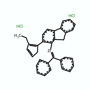 CCC1=C(c2ccc3c([c]2[Zr]=[C](c2ccccc2)c2ccccc2)Cc2ccccc2-3)CC=C1.Cl.Cl